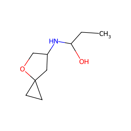 CCC(O)NC1COC2(CC2)C1